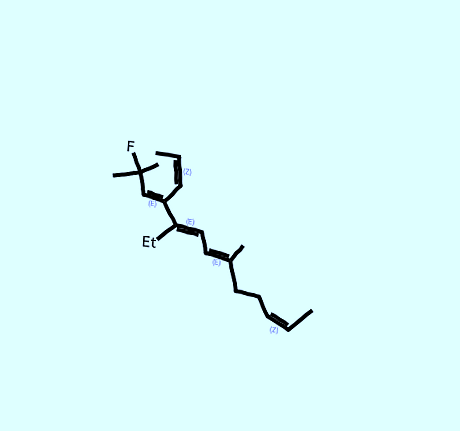 C/C=C\CC/C(C)=C/C=C(CC)/C(/C=C\C)=C/C(C)(C)F